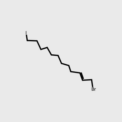 BrCC=CCCCCCCCCCI